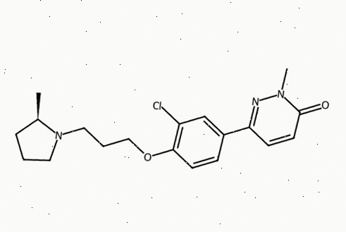 C[C@@H]1CCCN1CCCOc1ccc(-c2ccc(=O)n(C)n2)cc1Cl